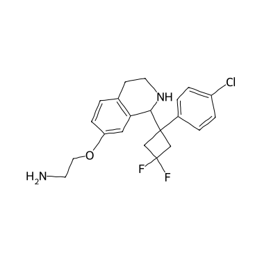 NCCOc1ccc2c(c1)C(C1(c3ccc(Cl)cc3)CC(F)(F)C1)NCC2